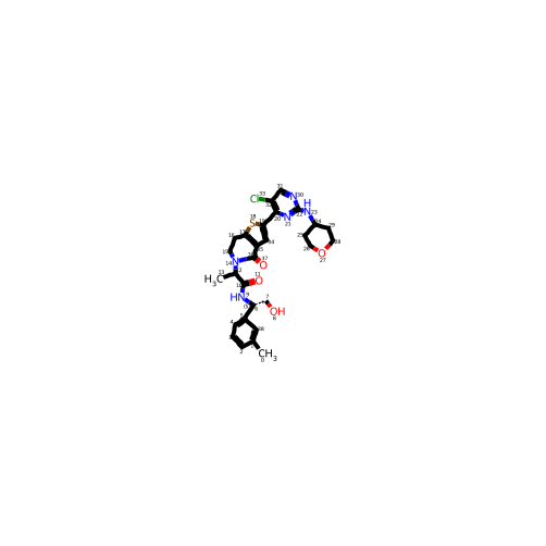 Cc1cccc([C@@H](CO)NC(=O)C(C)N2CCc3sc(-c4nc(NC5CCOCC5)ncc4Cl)cc3C2=O)c1